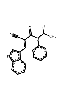 CC(C)N(C(=O)/C(C#N)=C/c1c[nH]c2ccccc12)c1ccccc1